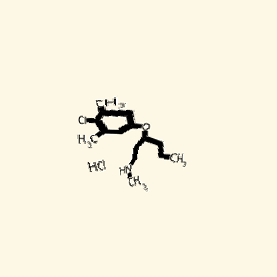 CCCC(CCNC)Oc1cc(C)c(Cl)c(C)c1.Cl